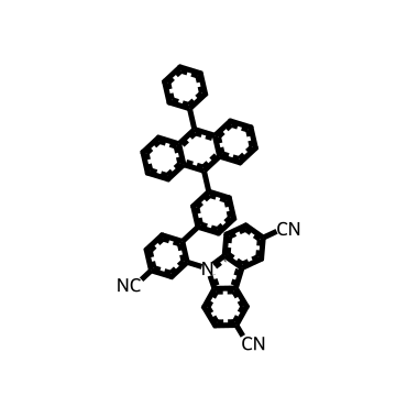 N#Cc1ccc(-c2cccc(-c3c4ccccc4c(-c4ccccc4)c4ccccc34)c2)c(-n2c3ccc(C#N)cc3c3cc(C#N)ccc32)c1